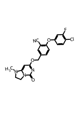 CN1CCn2c1cc(OCc1ccc(Oc3ccc(Cl)c(F)c3)c(C#N)c1)nc2=O